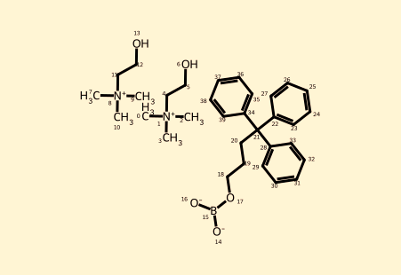 C[N+](C)(C)CCO.C[N+](C)(C)CCO.[O-]B([O-])OCCCC(c1ccccc1)(c1ccccc1)c1ccccc1